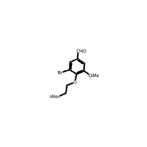 CCCCCCCCCCCOc1c(Br)cc(C=O)cc1OC